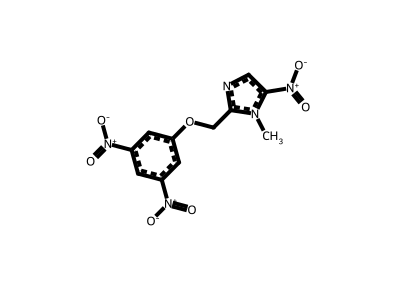 Cn1c([N+](=O)[O-])cnc1COc1cc([N+](=O)[O-])cc([N+](=O)[O-])c1